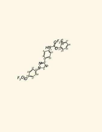 O=C(Nc1ccc(-c2ncn(-c3ccc(OC(F)(F)F)cc3)n2)cc1)Oc1ccccc1C(F)(F)F